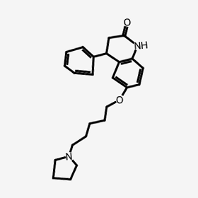 O=C1CC(c2ccccc2)c2cc(OCCCCCN3CCCC3)ccc2N1